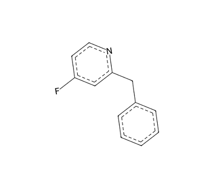 Fc1ccnc(Cc2ccccc2)c1